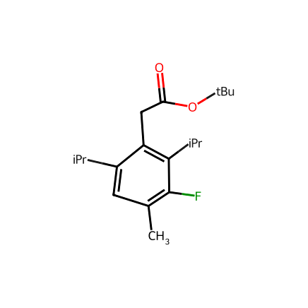 Cc1cc(C(C)C)c(CC(=O)OC(C)(C)C)c(C(C)C)c1F